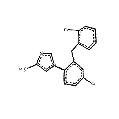 Cc1cn(-c2ccc(Cl)cc2Cc2ccccc2Cl)cn1